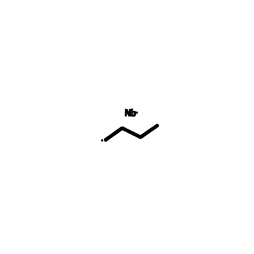 [CH2]CCC.[Nb]